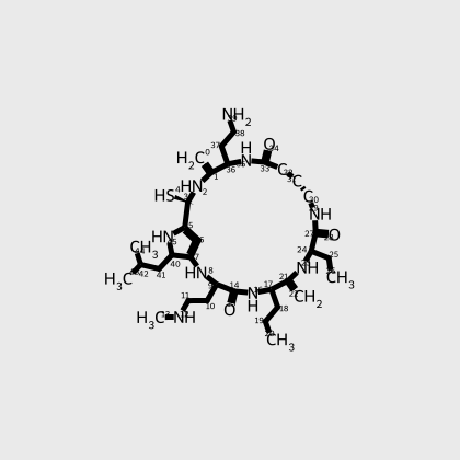 C=C1N[C@H](S)C2=C=C(NC(CCNC)C(=O)NC(CCC)C(=C)NC(CC)C(=O)NCCCC(=O)NC1CCN)C(CC(C)C)N2